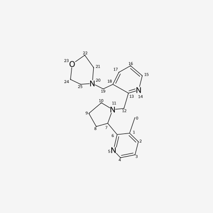 Cc1cccnc1C1CCCN1Cc1ncccc1CN1CCOCC1